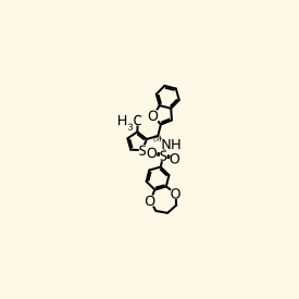 Cc1ccsc1[C@@H](NS(=O)(=O)c1ccc2c(c1)OCCCO2)c1cc2ccccc2o1